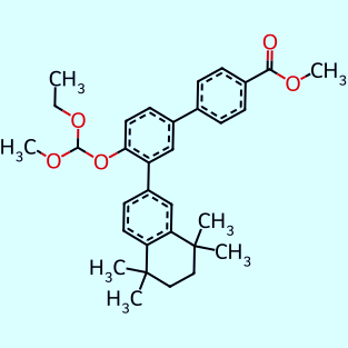 CCOC(OC)Oc1ccc(-c2ccc(C(=O)OC)cc2)cc1-c1ccc2c(c1)C(C)(C)CCC2(C)C